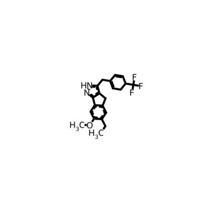 CCc1cc2c(cc1OC)-c1n[nH]c(CC3=CCC(C(F)(F)F)C=C3)c1C2